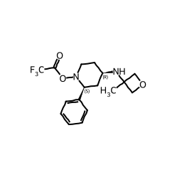 CC1(N[C@@H]2CCN(OC(=O)C(F)(F)F)[C@H](c3ccccc3)C2)COC1